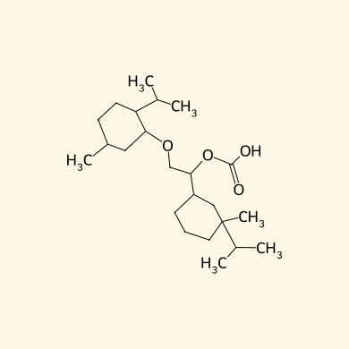 CC1CCC(C(C)C)C(OCC(OC(=O)O)C2CCCC(C)(C(C)C)C2)C1